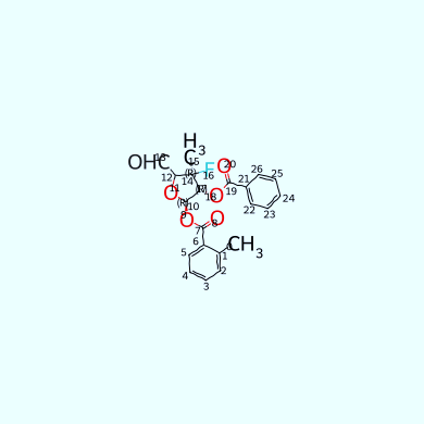 Cc1ccccc1C(=O)O[C@H]1OC(C=O)[C@@](C)(F)[C@@H]1OC(=O)c1ccccc1